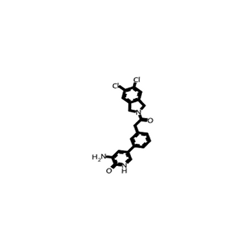 Nc1cc(-c2cccc(CC(=O)N3Cc4cc(Cl)c(Cl)cc4C3)c2)c[nH]c1=O